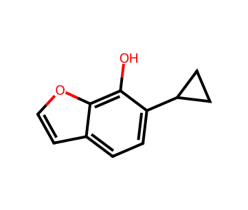 Oc1c(C2CC2)ccc2ccoc12